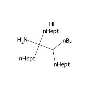 CCCCCCCC(CCCC)C(N)(CCCCCCC)CCCCCCC.I